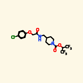 O=C(COc1ccc(Cl)cc1)NCC1CCN(C(=O)OC(C(F)(F)F)C(F)(F)F)CC1